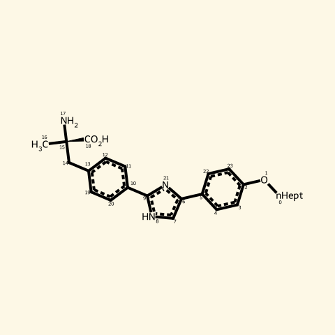 CCCCCCCOc1ccc(-c2c[nH]c(-c3ccc(C[C@](C)(N)C(=O)O)cc3)n2)cc1